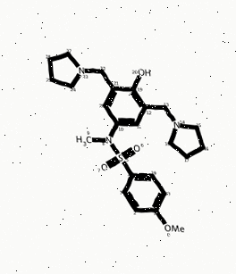 COc1ccc(S(=O)(=O)N(C)c2cc(CN3CCCC3)c(O)c(CN3CCCC3)c2)cc1